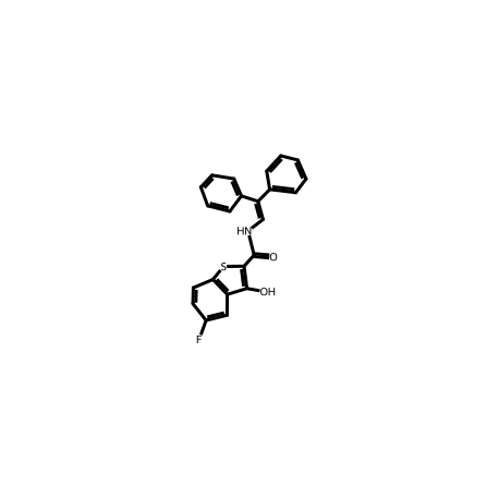 O=C(NC=C(c1ccccc1)c1ccccc1)c1sc2ccc(F)cc2c1O